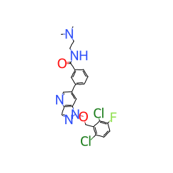 CN(C)CCNC(=O)c1cccc(-c2cnc3cnn(OCc4c(Cl)ccc(F)c4Cl)c3c2)c1